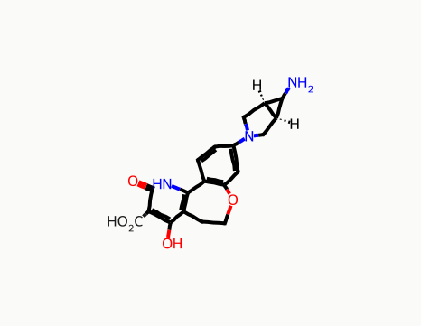 NC1[C@H]2CN(c3ccc4c(c3)OCCc3c-4[nH]c(=O)c(C(=O)O)c3O)C[C@@H]12